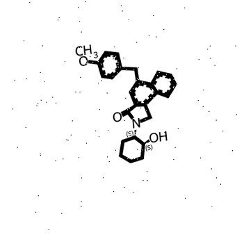 COc1ccc(Cc2cc3c(c4ccccc24)CN([C@H]2CCCC[C@@H]2O)C3=O)cc1